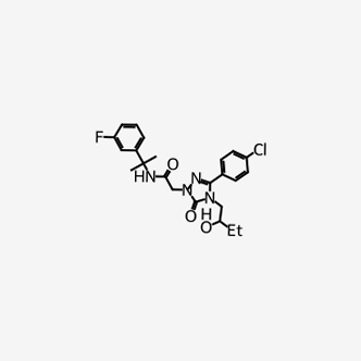 CCC(O)Cn1c(-c2ccc(Cl)cc2)nn(CC(=O)NC(C)(C)c2cccc(F)c2)c1=O